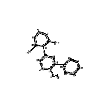 Cc1nnc(-c2c(F)cccc2F)cc1-c1ccccc1